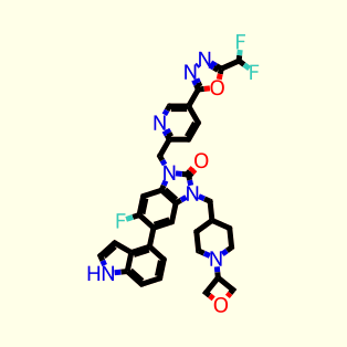 O=c1n(Cc2ccc(-c3nnc(C(F)F)o3)cn2)c2cc(F)c(-c3cccc4[nH]ccc34)cc2n1CC1CCN(C2COC2)CC1